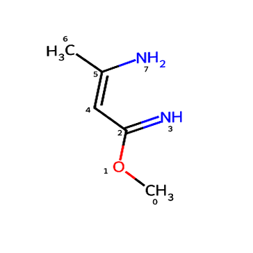 COC(=N)C=C(C)N